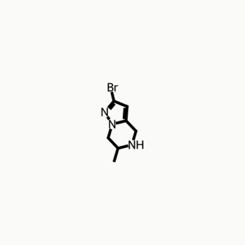 CC1Cn2nc(Br)cc2CN1